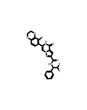 O=C(NC(c1ccccc1)C(F)F)c1cc2c(=O)[nH]c(-c3ccc4c(c3F)OCCO4)cn2n1